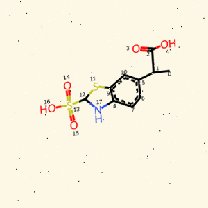 CC(C(=O)O)c1ccc2c(c1)SC(S(=O)(=O)O)N2